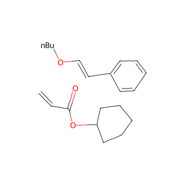 C=CC(=O)OC1CCCCC1.CCCCOC=Cc1ccccc1